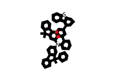 CC1(C)c2ccccc2-c2ccc(N(c3ccc4c(c3)C(C)(c3ccccc3)c3ccccc3-4)c3ccccc3-c3cccc(-c4cccc5sc6ccccc6c45)c3)cc21